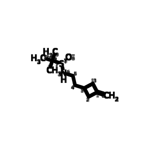 C=C1CC(CCN[S+]([O-])C(C)(C)C)C1